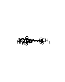 CS(=O)(=O)OCCCCCc1ccc2c(c1)C(=O)N(C1CCC(=O)NC1=O)C2=O